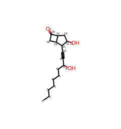 CCCCCCCC(O)C#CC1C(O)CC2C(=O)CC21